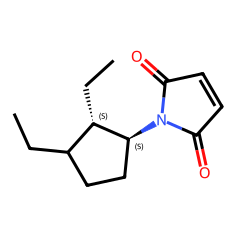 CCC1CC[C@H](N2C(=O)C=CC2=O)[C@H]1CC